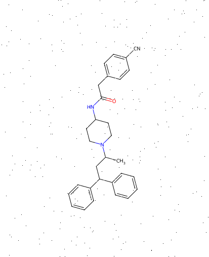 CC(CC(c1ccccc1)c1ccccc1)N1CCC(NC(=O)Cc2ccc(C#N)cc2)CC1